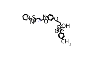 Cc1ccc(S(=O)(=O)OC(O)CCOc2ccc3nc(/C=C/c4cnc(N5CCCCC5)s4)oc3c2)cc1